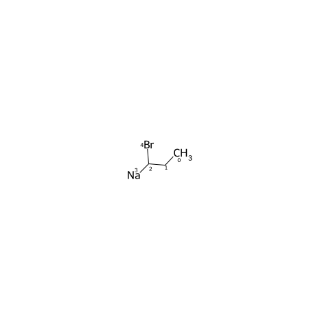 CC[CH]([Na])Br